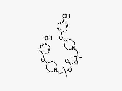 CC(C)(CN1CCC(Oc2ccc(O)cc2)CC1)OC(=O)OC(C)(C)CN1CCC(Oc2ccc(O)cc2)CC1